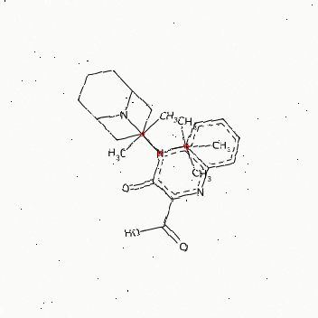 CC(C)(C)CC(C)(C)N1C2CCCC1CC(n1c(=O)c(C(=O)O)nc3ccccc31)C2